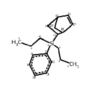 CCC[Si](CCC)(c1ccccc1)C1CC2C=CC1C2